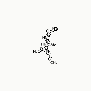 C=CC(=O)Nc1cc(Nc2nccc(Nc3ccc(OCc4ccccn4)c(Cl)c3)n2)c(OC)cc1N1CCN(C2CCN(C)CC2)CC1